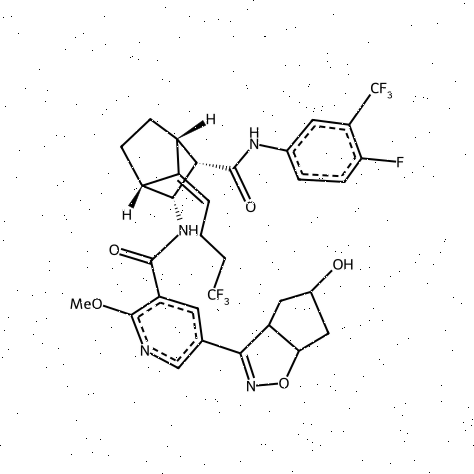 COc1ncc(C2=NOC3CC(O)CC23)cc1C(=O)N[C@H]1[C@@H](C(=O)Nc2ccc(F)c(C(F)(F)F)c2)[C@H]2CC[C@@H]1/C2=C\CCC(F)(F)F